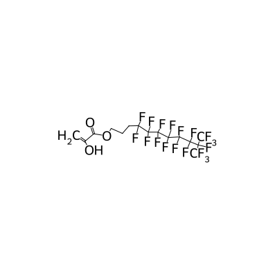 C=C(O)C(=O)OCCCC(F)(F)C(F)(F)C(F)(F)C(F)(F)C(F)(F)C(F)(F)C(F)(C(F)(F)F)C(F)(F)F